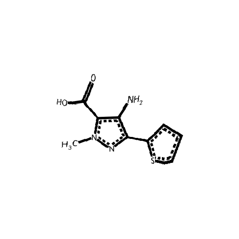 Cn1nc(-c2cccs2)c(N)c1C(=O)O